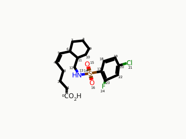 O=C(O)CCC/C=C\C1CCCCC1CNS(=O)(=O)c1ccc(Cl)cc1F